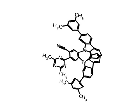 Cc1cc(C)cc(-c2ccc3c4ccccc4n(-c4cc(C#N)c(-c5nc(C)nc(C)n5)cc4-n4c5ccccc5c5ccc(-c6cc(C)cc(C)c6)cc54)c3c2)c1